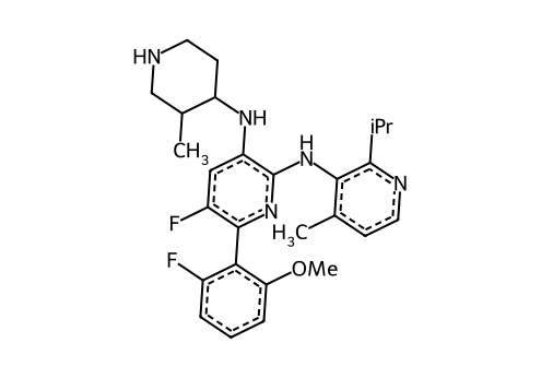 COc1cccc(F)c1-c1nc(Nc2c(C)ccnc2C(C)C)c(NC2CCNCC2C)cc1F